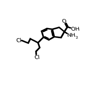 NC1(C(=O)O)Cc2ccc(C(CCCl)CCCl)cc2C1